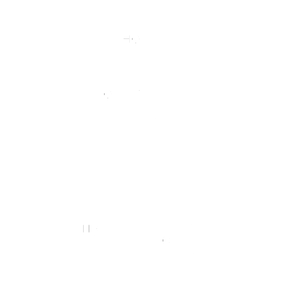 CCCc1cc(C(=O)CO)ccc1CC1CO1